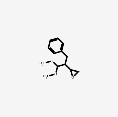 COC(OC)C(Cc1ccccc1)C1CO1